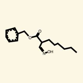 CCCCCCC(/C=N\O)C(=O)OCc1ccccc1